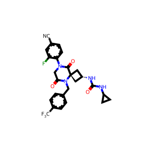 N#Cc1ccc(N2CC(=O)N(Cc3ccc(C(F)(F)F)cc3)[C@]3(C[C@@H](NC(=O)NC4CC4)C3)C2=O)c(F)c1